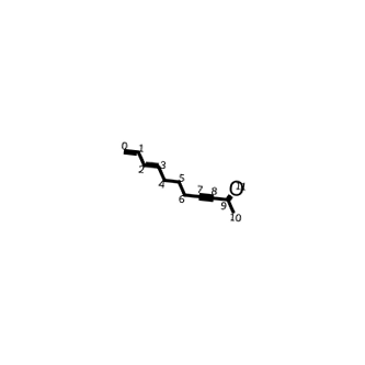 C=CC=CCCCC#CC(C)=O